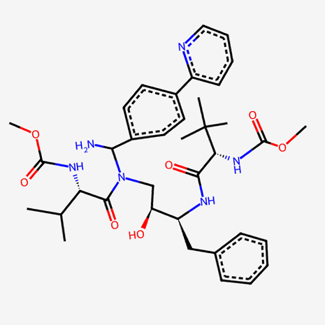 COC(=O)N[C@H](C(=O)N(C[C@H](O)[C@H](Cc1ccccc1)NC(=O)[C@@H](NC(=O)OC)C(C)(C)C)C(N)c1ccc(-c2ccccn2)cc1)C(C)C